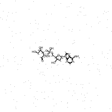 Nc1ncnc2c1ncn2[C@H]1CC(O)[C@@H](COP(=O)(O)O[C@@H]([C@H](O)CO)[C@@H](O)C=O)O1